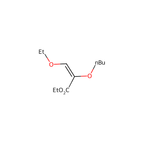 CCCCOC(=COCC)C(=O)OCC